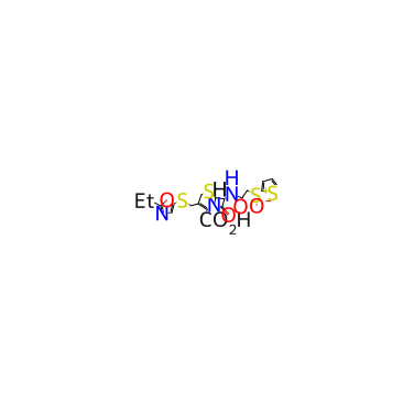 CCc1ncc(SCC2=C(C(=O)O)N3C(=O)C(NC(=O)C[S+]([O-])c4cccs4)[C@@H]3SC2)o1